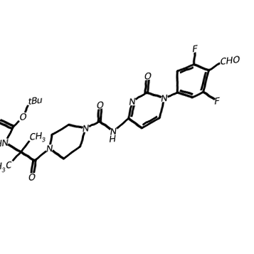 CC(C)(C)OC(=O)NC(C)(C)C(=O)N1CCN(C(=O)Nc2ccn(-c3cc(F)c(C=O)c(F)c3)c(=O)n2)CC1